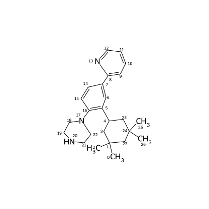 CC1(C)CC(c2cc(-c3ccccn3)ccc2N2CCNCC2)CC(C)(C)C1